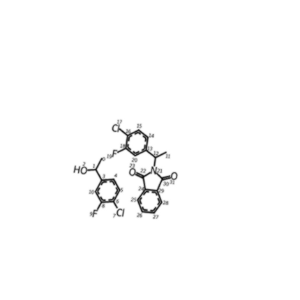 CC(O)c1ccc(Cl)c(F)c1.CC(c1ccc(Cl)c(F)c1)N1C(=O)c2ccccc2C1=O